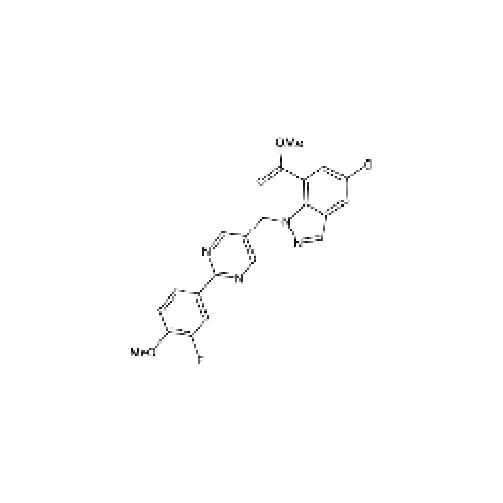 COC(=O)c1cc(Cl)cc2cnn(Cc3cnc(-c4ccc(OC)c(F)c4)nc3)c12